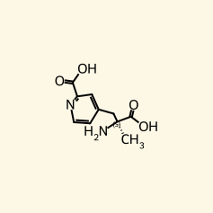 C[C@](N)(Cc1ccnc(C(=O)O)c1)C(=O)O